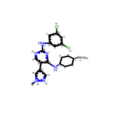 CC(=O)N[C@H]1CC[C@@H](Nc2nc(Nc3cc(Cl)cc(Cl)c3)ncc2-c2cnn(C)c2)CC1